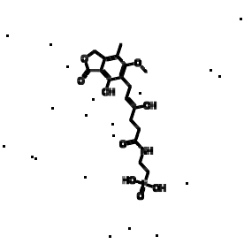 COc1c(C)c2c(c(O)c1C/C=C(\O)CCC(=O)NCCP(=O)(O)O)C(=O)OC2